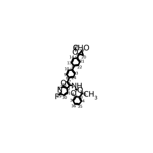 C[C@@H](OC(=O)Nc1c(-c2ccc(-c3ccc(C4(OC=O)CC4)cc3)cc2)oc2nc(F)ccc12)c1ccccc1